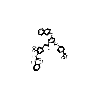 COc1cc(CC(=O)N2C[C@@H](Oc3ccc4ncccc4c3)C[C@H]2COc2ccc(C(=O)O)cc2)ccc1NC(=O)Nc1ccccc1Cl